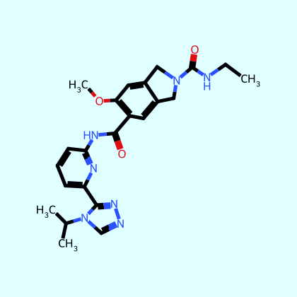 CCNC(=O)N1Cc2cc(OC)c(C(=O)Nc3cccc(-c4nncn4C(C)C)n3)cc2C1